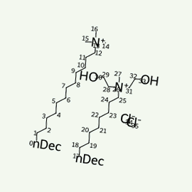 CCCCCCCCCCCCCCCCCCCCCC[N+](C)(C)C.CCCCCCCCCCCCCCCCCC[N+](C)(CCO)CCO.[Cl-].[Cl-]